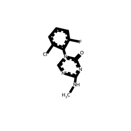 CNc1ncn(-c2c(F)cccc2Cl)c(=O)n1